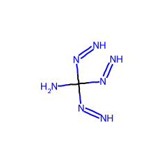 N=NC(N)(N=N)N=N